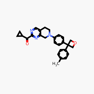 Cc1ccc(C2(c3ccc(N4CCc5cnc(C(=O)C6CC6)nc5C4)cc3)COC2)cc1